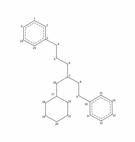 c1ccc(CCC[C](CCc2ccccc2)CC2CCCCC2)cc1